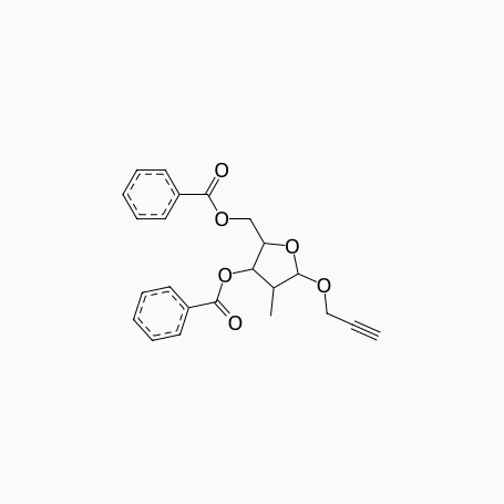 C#CCOC1OC(COC(=O)c2ccccc2)C(OC(=O)c2ccccc2)C1C